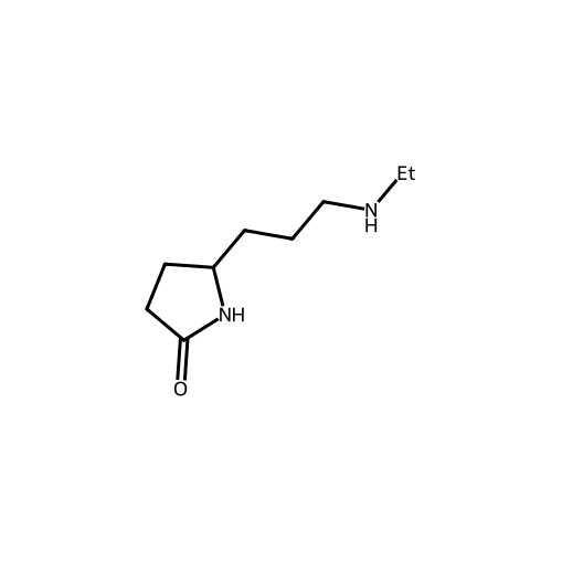 CCNCCCC1CCC(=O)N1